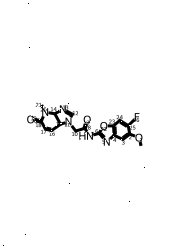 COc1cc2nc(NC(=O)CN3C=NC4C3C=CC(=O)N4C)oc2cc1F